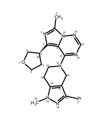 Cc1nc([C@H]2CCOC2)c2c(N3CCc4c(c(C(C)C)nn4C)C3)ncnn12